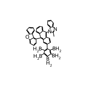 Bc1c(B)c(B)c(-c2ccc3c(-n4c(C)nc5ccccc54)c4ccccc4c(-c4cccc5oc6ccccc6c45)c3c2)c(B)c1B